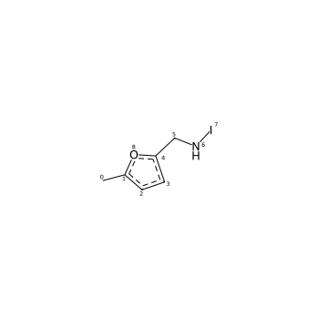 Cc1ccc(CNI)o1